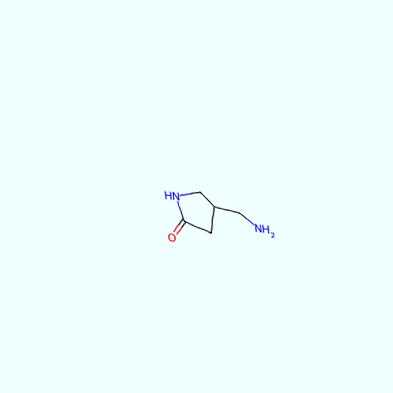 NCC1CNC(=O)C1